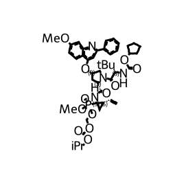 C=C[C@@H]1C[C@]1(NC(=O)[C@@H]1C[C@@H](Oc2cc(-c3ccccc3)nc3cc(OC)ccc23)CN1C(=O)[C@@H](NC(=O)OC1CCCC1)C(C)(C)C)P(=O)(OC)OCOC(=O)OC(C)C